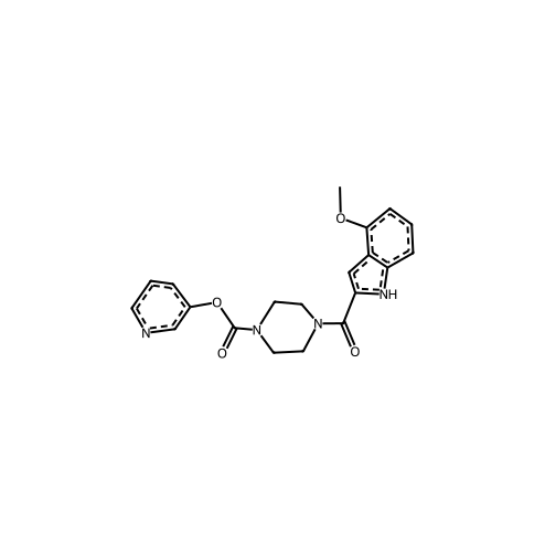 COc1cccc2[nH]c(C(=O)N3CCN(C(=O)Oc4cccnc4)CC3)cc12